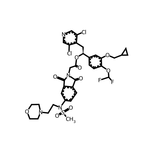 CS(=O)(=O)N(CCN1CCOCC1)c1ccc2c(c1)C(=O)N(CC(=O)O[C@@H](Cc1c(Cl)cncc1Cl)c1ccc(OC(F)F)c(OCC3CC3)c1)C2=O